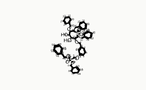 O=P(COc1cccc(CO[C@@H]2[C@H](O)[C@@H](O)[C@@H](OCc3ccccc3)[C@@H](Cc3ccccc3)S(=O)(=O)[C@@H]2Cc2ccccc2)c1)(OCc1ccccc1)OCc1ccccc1